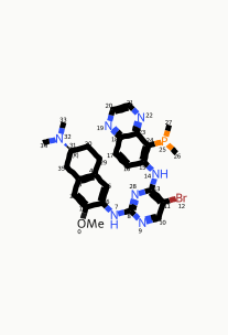 COc1cc2c(cc1Nc1ncc(Br)c(Nc3ccc4nccnc4c3P(C)C)n1)CC[C@@H](N(C)C)C2